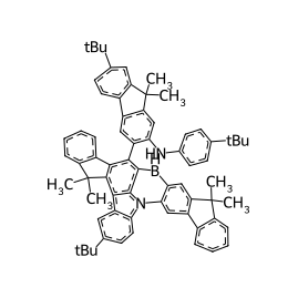 CC(C)(C)c1ccc(Nc2cc3c(cc2-c2c4c(c5c6cc(C(C)(C)C)ccc6n6c5c2Bc2cc5c(cc2-6)-c2ccccc2C5(C)C)C(C)(C)c2ccccc2-4)-c2ccc(C(C)(C)C)cc2C3(C)C)cc1